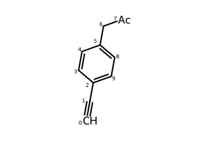 C#Cc1ccc(CC(C)=O)cc1